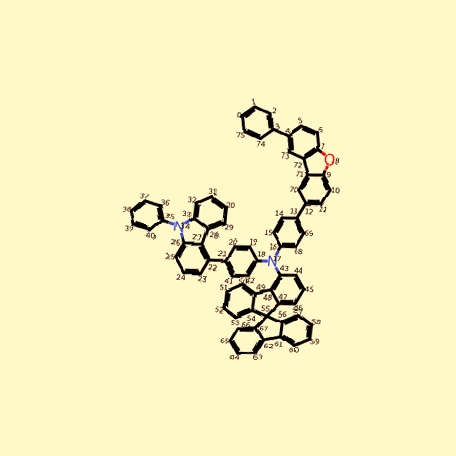 c1ccc(-c2ccc3oc4ccc(-c5ccc(N(c6ccc(-c7cccc8c7c7ccccc7n8-c7ccccc7)cc6)c6cccc7c6-c6ccccc6C76c7ccccc7-c7ccccc76)cc5)cc4c3c2)cc1